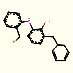 Oc1c(CC2C=CC=CC2)cccc1Pc1ccccc1CS